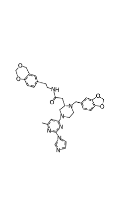 Cc1cc(N2CCN(Cc3ccc4c(c3)OCO4)C(CC(=O)NCCc3ccc4c(c3)COCO4)C2)nc(-n2ccnc2)n1